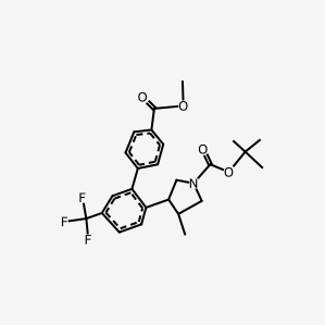 COC(=O)c1ccc(-c2cc(C(F)(F)F)ccc2C2CN(C(=O)OC(C)(C)C)CC2C)cc1